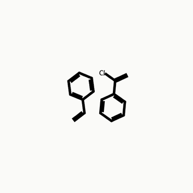 C=C(Cl)c1ccccc1.C=Cc1ccccc1